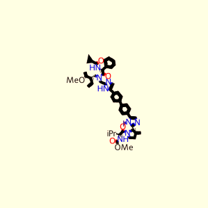 C=C[C@@H](CN(Cc1ncc(-c2ccc(-c3ccc(-c4cnc([C@@H]5C(=C)CCN5C(=O)[C@@H](NC(=O)OC)C(C)C)n4I)cc3)cc2)[nH]1)C(=O)[C@H](NC(=O)C1CC1)c1ccccc1)C(=C)OC